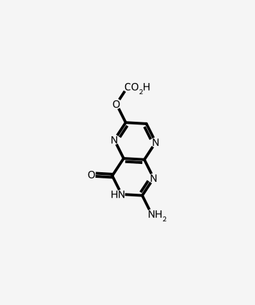 Nc1nc2ncc(OC(=O)O)nc2c(=O)[nH]1